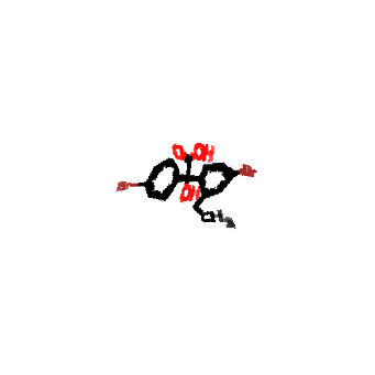 CCc1cc(Br)ccc1C(O)(C(=O)O)c1ccc(Br)cc1